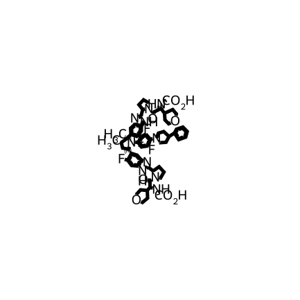 CC1C[C@H](c2cc3nc(C4CCCN4C(=O)C(NC(=O)O)C4CCOCC4)[nH]c3cc2F)N(c2cc(F)c(N3CCC(c4ccccc4)CC3)c(F)c2)[C@]1(C)c1cc2nc(C3CCCN3C(=O)[C@@H](NC(=O)O)C3CCOCC3)[nH]c2cc1F